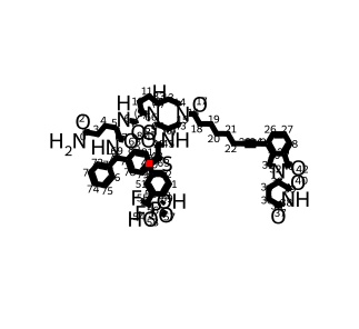 NC(=O)CCC(NC(=O)[C@@H]1CC[C@@H]2CCN(C(=O)CCCCCC#Cc3cccc4c3CN(C3CCC(=O)NC3=O)C4=O)C[C@H](NC(=O)c3cc4cc(C(F)(F)P(=O)(O)O)ccc4s3)C(=O)N21)C(=O)NC(c1ccccc1)c1ccccc1